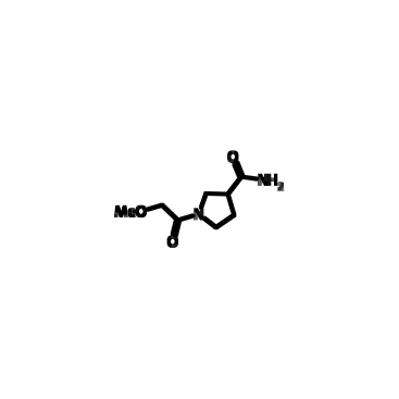 COCC(=O)N1CCC(C(N)=O)C1